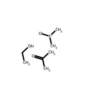 CC(C)=O.CCO.C[S+](C)[O-]